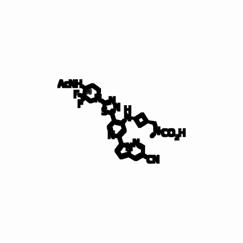 CC(=O)N[C@H]1CCN(c2nnc(-c3cnc(-c4ccc5cc(C#N)cnn45)cc3N[C@H]3C[C@H](CN(C)C(=O)O)C3)s2)CC1(F)F